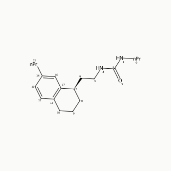 CCCNC(=O)NCC[C@H]1CCCc2ccc(CCC)cc21